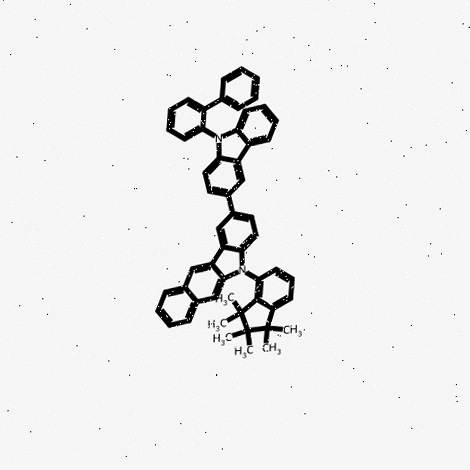 CC1(C)c2cccc(-n3c4ccc(-c5ccc6c(c5)c5ccccc5n6-c5ccccc5-c5ccccc5)cc4c4cc5ccccc5cc43)c2C(C)(C)C1(C)C